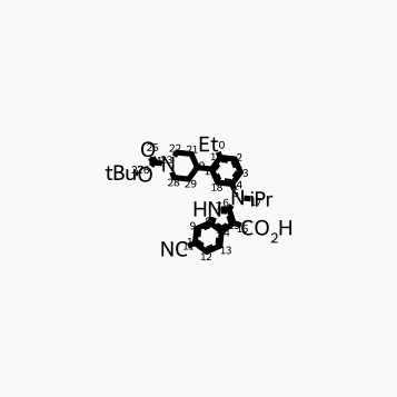 CCc1ccc(N(c2[nH]c3cc(C#N)ccc3c2C(=O)O)C(C)C)cc1C1CCN(C(=O)OC(C)(C)C)CC1